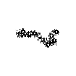 COc1c(CNC[C@H](O)c2ccc(O)c3[nH]c(=O)ccc23)ccc(C(=O)N[C@H]2C[C@H](NC(=O)COc3cccc([C@](O)(C(=O)OCC4CCN(Cc5ccccc5)CC4)c4ccccc4)c3)C2)c1F